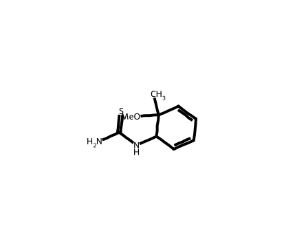 COC1(C)C=CC=CC1NC(N)=S